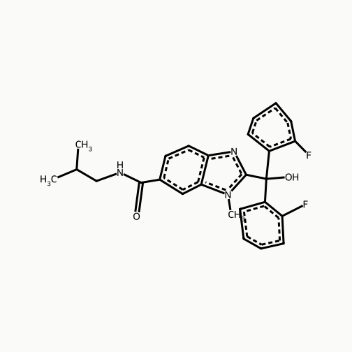 CC(C)CNC(=O)c1ccc2nc(C(O)(c3ccccc3F)c3ccccc3F)n(C)c2c1